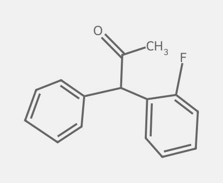 CC(=O)C(c1ccccc1)c1ccccc1F